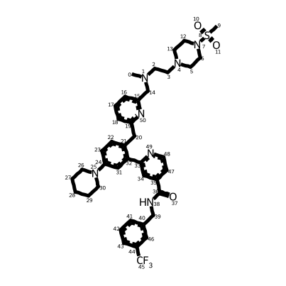 CN(CCN1CCN(S(C)(=O)=O)CC1)Cc1cccc(Cc2ccc(N3CCCCC3)cc2-c2cc(C(=O)NCc3cccc(C(F)(F)F)c3)ccn2)n1